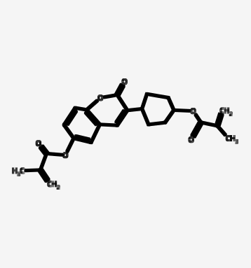 C=C(C)C(=O)Oc1ccc2oc(=O)c(C3CCC(OC(=O)C(=C)C)CC3)cc2c1